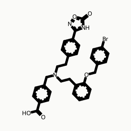 O=C(O)c1ccc(CN(CCc2ccc(-c3noc(=O)[nH]3)cc2)CCc2ccccc2OCc2ccc(Br)cc2)cc1